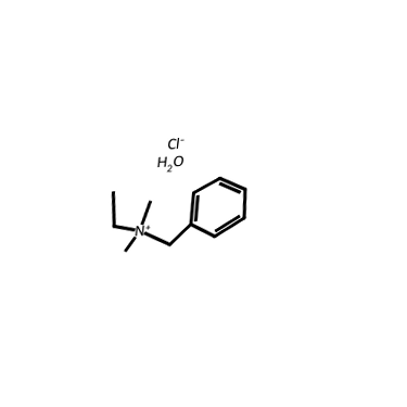 CC[N+](C)(C)Cc1ccccc1.O.[Cl-]